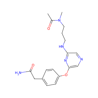 CC(=O)N(C)CCCNc1cncc(Oc2ccc(CC(N)=O)cc2)n1